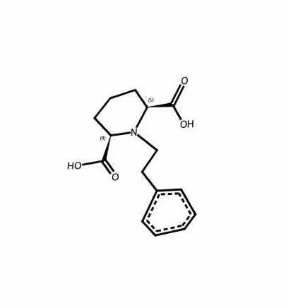 O=C(O)[C@H]1CCC[C@@H](C(=O)O)N1CCc1ccccc1